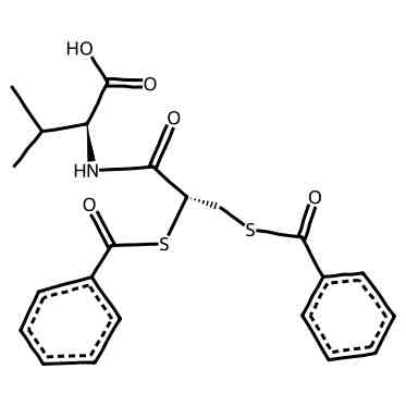 CC(C)[C@H](NC(=O)[C@H](CSC(=O)c1ccccc1)SC(=O)c1ccccc1)C(=O)O